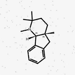 CN1[C@H]2c3ccccc3C[C@@]2(C)CCC1(C)C